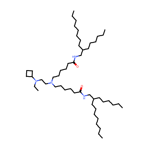 CCCCCCCCC(CCCCCC)CNC(=O)CCCCCN(CCCCCC(=O)NCC(CCCCCC)CCCCCCCC)CCN(CC)C1CCC1